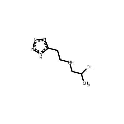 CC(O)CNCCc1nnn[nH]1